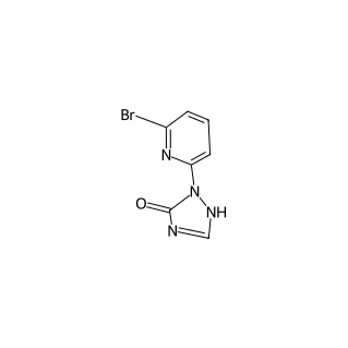 O=c1nc[nH]n1-c1cccc(Br)n1